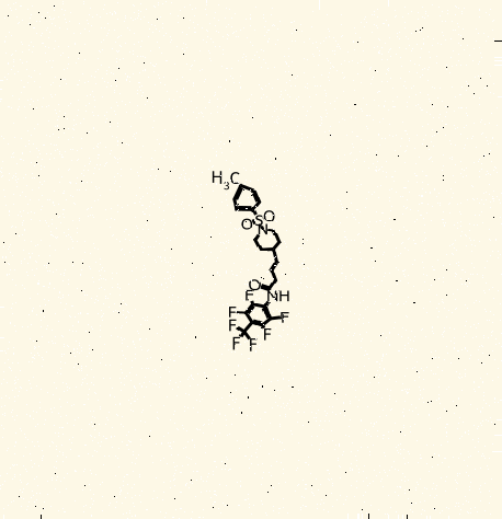 Cc1ccc(S(=O)(=O)N2CCC(CCCC(=O)Nc3c(F)c(F)c(C(F)(F)F)c(F)c3F)CC2)cc1